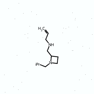 C=CCNCC1CCN1CC(C)C